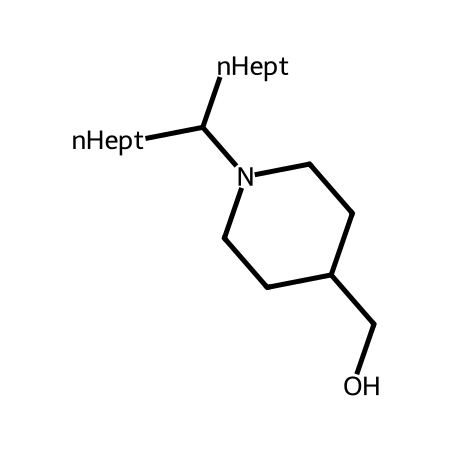 CCCCCCCC(CCCCCCC)N1CCC(CO)CC1